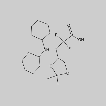 C1CCC(NC2CCCCC2)CC1.CC1(C)OCC(CC(F)(F)C(=O)O)O1